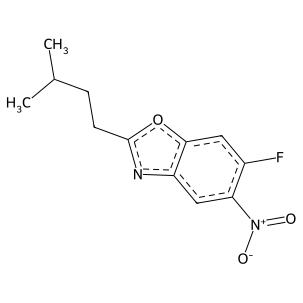 CC(C)CCc1nc2cc([N+](=O)[O-])c(F)cc2o1